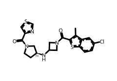 Cc1c(C(=O)N2CC(N[C@H]3CCN(C(=O)c4cscn4)C3)C2)sc2ccc(Cl)cc12